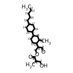 C=C(CO)C(=O)OCC(C=O)C1CCC(C2CCC(CCCCC)CC2)CC1C